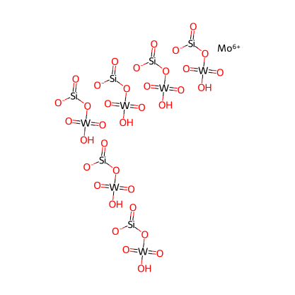 O=[Si]([O-])[O][W](=[O])(=[O])[OH].O=[Si]([O-])[O][W](=[O])(=[O])[OH].O=[Si]([O-])[O][W](=[O])(=[O])[OH].O=[Si]([O-])[O][W](=[O])(=[O])[OH].O=[Si]([O-])[O][W](=[O])(=[O])[OH].O=[Si]([O-])[O][W](=[O])(=[O])[OH].[Mo+6]